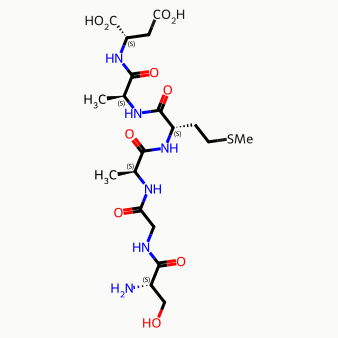 CSCC[C@H](NC(=O)[C@H](C)NC(=O)CNC(=O)[C@@H](N)CO)C(=O)N[C@@H](C)C(=O)N[C@@H](CC(=O)O)C(=O)O